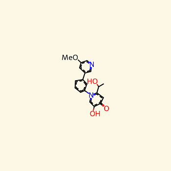 COc1cncc(-c2cccc(-n3cc(O)c(=O)cc3C(C)O)c2)c1